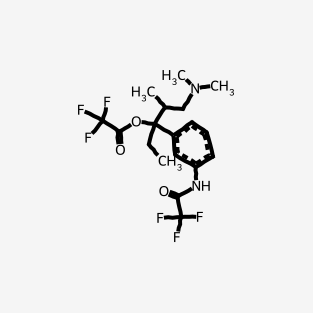 CCC(OC(=O)C(F)(F)F)(c1cccc(NC(=O)C(F)(F)F)c1)C(C)CN(C)C